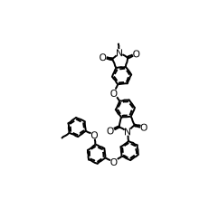 Cc1cccc(Oc2cccc(Oc3cccc(N4C(=O)c5ccc(Oc6ccc7c(c6)C(=O)N(C)C7=O)cc5C4=O)c3)c2)c1